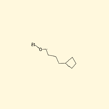 CCO[CH]CCCC1CCC1